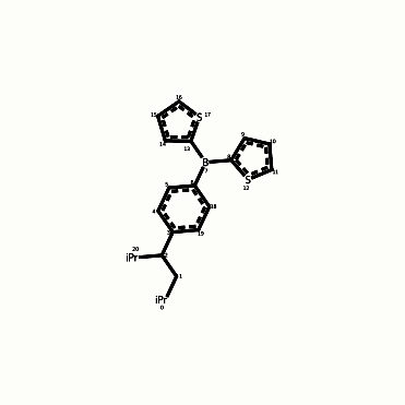 CC(C)CC(c1ccc(B(c2cccs2)c2cccs2)cc1)C(C)C